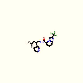 CC(C)CC(CNC(=O)c1cccc2nc(C(F)(F)F)cn12)c1cccnc1